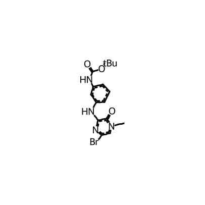 Cn1cc(Br)nc(Nc2cccc(NC(=O)OC(C)(C)C)c2)c1=O